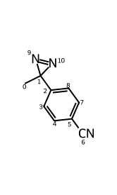 CC1(c2ccc(C#N)cc2)N=N1